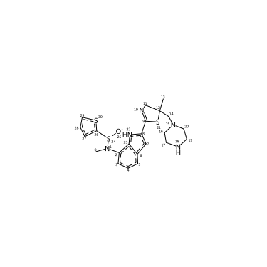 CN(c1cccc2cc(C3=NCC(C)(CN4CCNCC4)S3)[nH]c12)[S+]([O-])c1cccs1